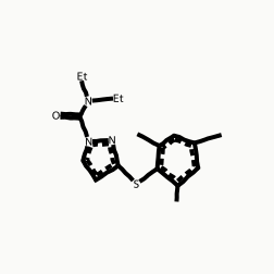 CCN(CC)C(=O)n1ccc(Sc2c(C)cc(C)cc2C)n1